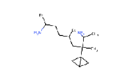 CCC(N)CCC(CC)CC(C)(C(C)N)C12CC1C2